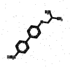 CCOC(=O)c1ccc(-c2ccc(OCC(C)N)cc2)cc1